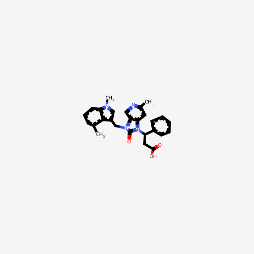 Cc1cc2c(cn1)n(Cc1cn(C)c3cccc(C)c13)c(=O)n2C(CC(=O)O)c1ccccc1